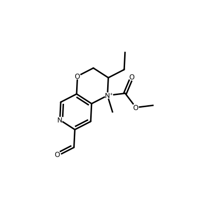 CCC1COc2cnc(C=O)cc2[N+]1(C)C(=O)OC